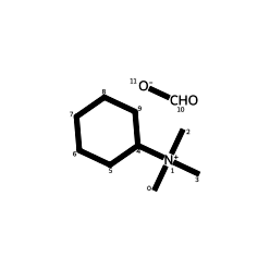 C[N+](C)(C)C1CCCCC1.O=C[O-]